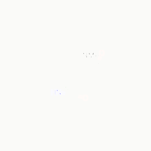 CNC1(c2ccccc2Cl)CCCCC1=O.N=C=O